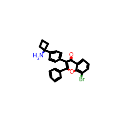 NC1(c2ccc(-c3c(-c4ccccc4)oc4c(Br)cccc4c3=O)cc2)CCC1